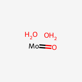 O.O.[O]=[Mo]